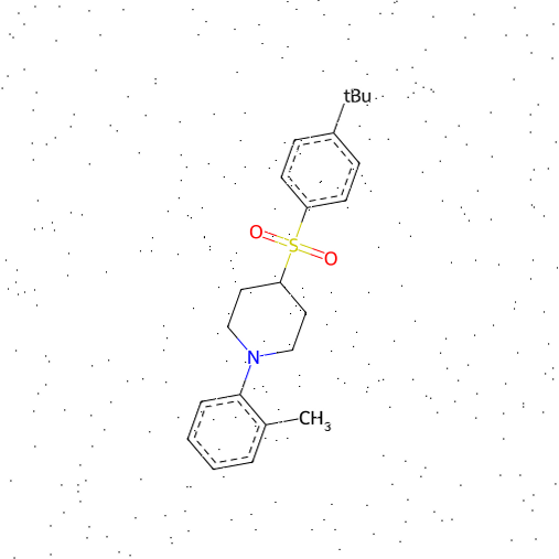 Cc1ccccc1N1CCC(S(=O)(=O)c2ccc(C(C)(C)C)cc2)CC1